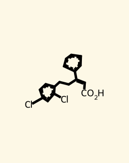 O=C(O)/C=C(\CCc1ccc(Cl)cc1Cl)c1ccccc1